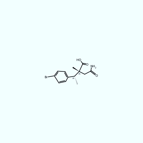 C[C@H](c1ccc(Br)cc1)[C@@](C)(CC(N)=O)C(=O)O